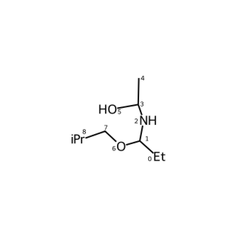 CCC(NC(C)O)OCC(C)C